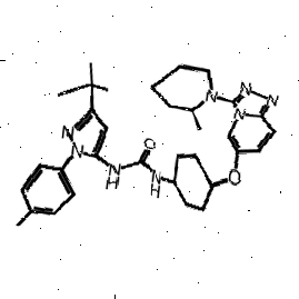 Cc1ccc(-n2nc(C(C)(C)C)cc2NC(=O)NC2CCC(Oc3ccc4nnc(N5CCCC[C@@H]5C)n4c3)CC2)cc1